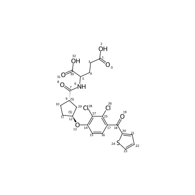 O=C(O)CCC(NC(=O)[C@H]1CC[C@H](Oc2ccc(C(=O)c3cccs3)c(Cl)c2Cl)C1)C(=O)O